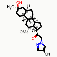 CO[C@@H]1C[C@H]2[C@@H](CC[C@@H]3C[C@](C)(O)CC[C@@H]32)[C@@H]2CC[C@H](C(=O)Cn3cc(C#N)cn3)[C@@]12C